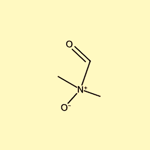 C[N+](C)([O-])C=O